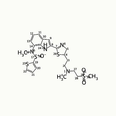 CN(CCC1CN=C(c2cc3cccc(N(C)[S+]([O-])c4cccs4)c3[nH]2)S1)CCS(C)(=O)=O